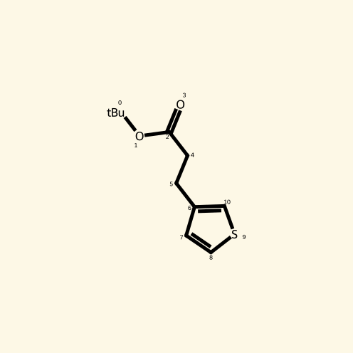 CC(C)(C)OC(=O)CCc1ccsc1